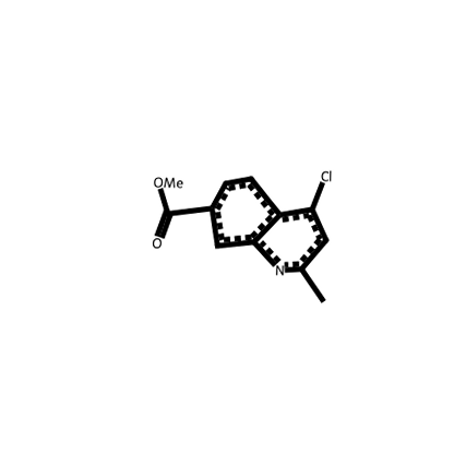 COC(=O)c1ccc2c(Cl)cc(C)nc2c1